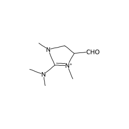 CN(C)C1=[N+](C)C(C=O)CN1C